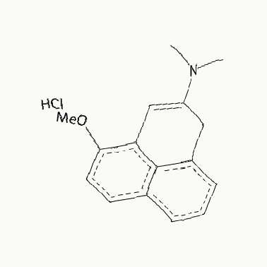 COc1ccc2cccc3c2c1C=C(N(C)C)C3.Cl